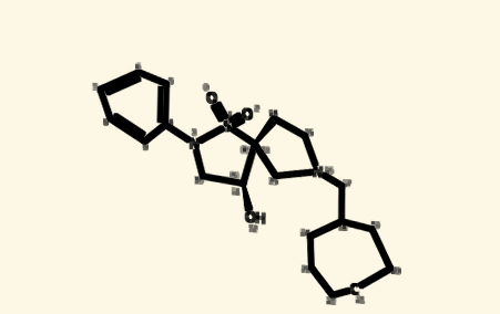 O=S1(=O)N(c2ccccc2)C[C@H](O)[C@]12CCN(CC1CCCCCC1)C2